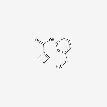 C=Cc1ccccc1.O=C(O)C1=CCC1